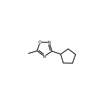 Cc1nc(C2CCCC2)no1